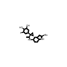 C=C(Nc1ccc2[nH]c(C(C)(C)C)cc2c1)C1(c2cc(O)c(O)c(F)c2)CC1